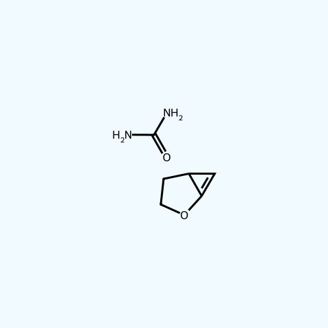 C1=C2OCCC12.NC(N)=O